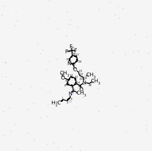 C=C/C=C\N=C(/C)c1cc(OC)ccc1C(=O)N(CC)[C@@H](C)CCOc1ccc(C(F)(F)F)cn1